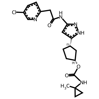 CC1(NC(=O)O[C@@H]2CC[C@H](c3cc(NC(=O)Cc4ccc(Cl)cn4)n[nH]3)C2)CC1